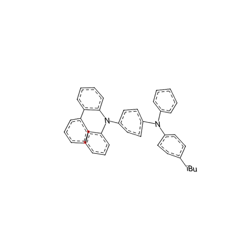 CCC(C)c1ccc(N(c2ccccc2)c2ccc(N(c3ccccc3)c3ccccc3-c3ccccc3)cc2)cc1